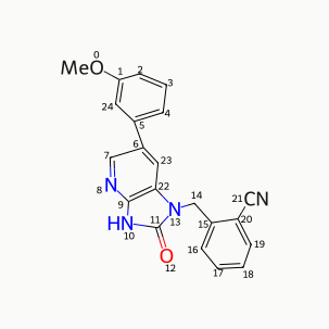 COc1cccc(-c2cnc3[nH]c(=O)n(Cc4ccccc4C#N)c3c2)c1